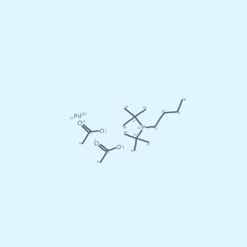 CC(=O)[O-].CC(=O)[O-].CCCCP(C(C)(C)C)C(C)(C)C.[Pd+2]